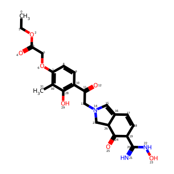 CCOC(=O)COc1ccc(C(=O)CN2C=C3C=CC(C(=N)NO)C(=O)C3C2)c(O)c1C